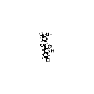 Nc1cc(CC(=O)c2cc3ccc(Cl)cc3[nH]c2=O)ccc1Cl